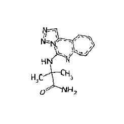 CC(C)(Nc1nc2ccccc2c2cnnn12)C(N)=O